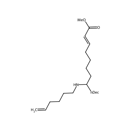 C=CCCCCNC(CCCCC=CC(=O)OC)CCCCCCCCCC